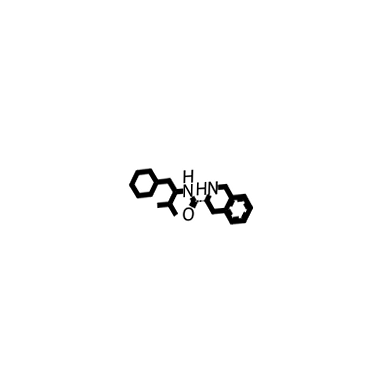 CC(C)C(CC1CCCCC1)NC(=O)[C@H]1Cc2ccccc2CN1